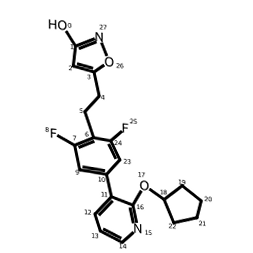 Oc1cc(CCc2c(F)cc(-c3cccnc3OC3CCCC3)cc2F)on1